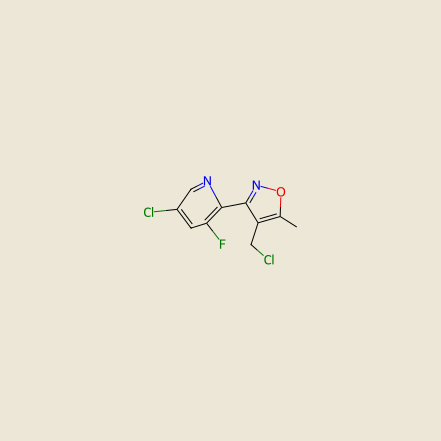 Cc1onc(-c2ncc(Cl)cc2F)c1CCl